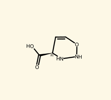 O=C(O)[C@H]1C=CONN1